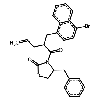 C=CCC(Cc1ccc(Br)c2ccccc12)C(=O)N1C(=O)OCC1Cc1ccccc1